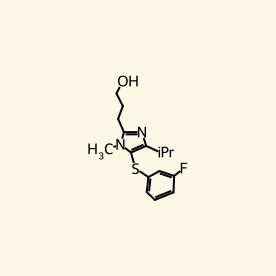 CC(C)c1nc(CCCO)n(C)c1Sc1cccc(F)c1